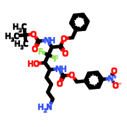 CC(C)(C)OC(=O)NC(C(=O)OCc1ccccc1)C(F)(F)C(O)C(CCCCN)NC(=O)OCc1ccc([N+](=O)[O-])cc1